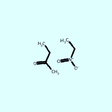 CCC(C)=O.CC[N+](=O)[O-]